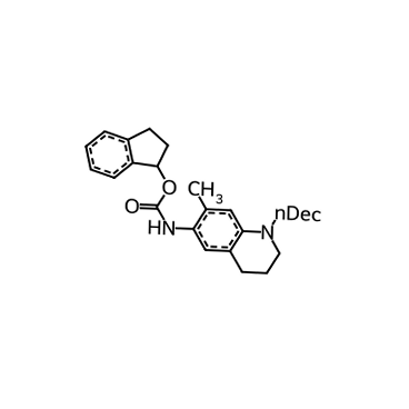 CCCCCCCCCCN1CCCc2cc(NC(=O)OC3CCc4ccccc43)c(C)cc21